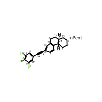 CCCCC[C@@H]1CC[C@@H]2c3ccc(C#Cc4cc(F)c(F)c(F)c4)cc3CC[C@@H]2C1